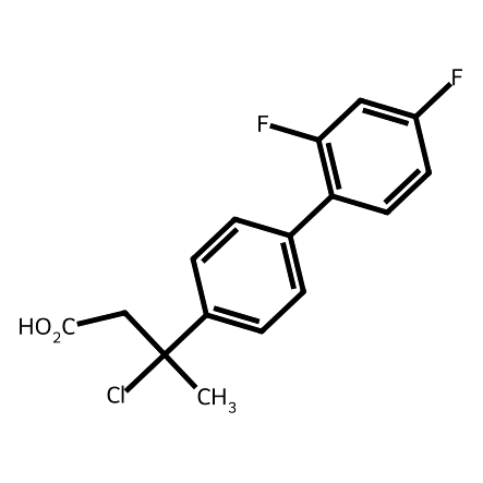 CC(Cl)(CC(=O)O)c1ccc(-c2ccc(F)cc2F)cc1